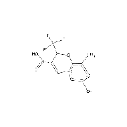 Cc1cc(O)cc2c1OC(C(F)(F)F)C(C(=O)O)=C2